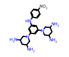 NC1CC(N)CN(c2cc(Nc3ccc([N+](=O)[O-])cc3)cc(N3CC(N)CC(N)C3)c2)C1